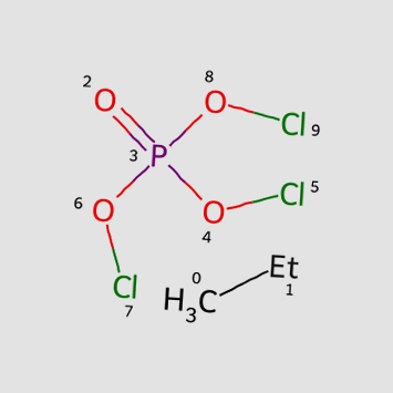 CCC.O=P(OCl)(OCl)OCl